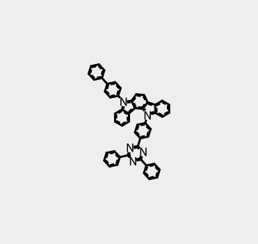 c1ccc(-c2ccc(-n3c4ccccc4c4c3ccc3c5ccccc5n(-c5ccc(-c6nc(-c7ccccc7)nc(-c7ccccc7)n6)cc5)c34)cc2)cc1